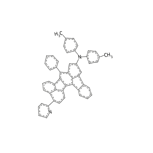 Cc1ccc(N(c2ccc(C)cc2)c2cc3c(-c4ccccc4)c4c5cccc6c(-c7ccccn7)ccc(c65)c4c4c5ccccc5c(c2)c34)cc1